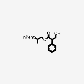 CCCCCC(C)COC(=O)C(CO)c1ccccc1